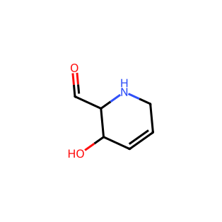 O=CC1NCC=CC1O